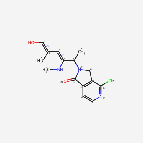 CN/C(=C\C(C)=C\O)C(C)N1Cc2c(ccnc2Cl)C1=O